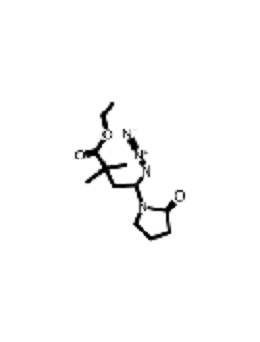 CCOC(=O)C(C)(C)CC(N=[N+]=[N-])N1CCCC1=O